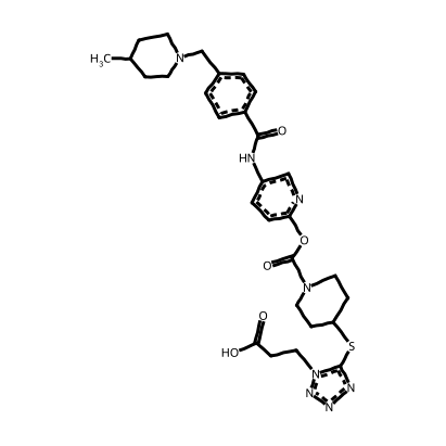 CC1CCN(Cc2ccc(C(=O)Nc3ccc(OC(=O)N4CCC(Sc5nnnn5CCC(=O)O)CC4)nc3)cc2)CC1